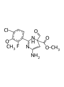 COC(=O)C1(C=O)C=C(N)N=C(c2ccc(Cl)c(OC)c2F)N1